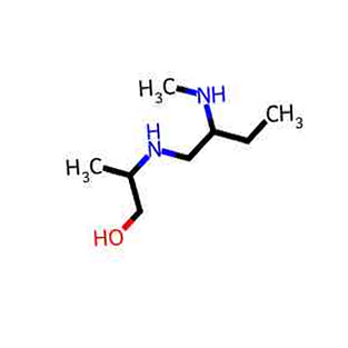 CCC(CNC(C)CO)NC